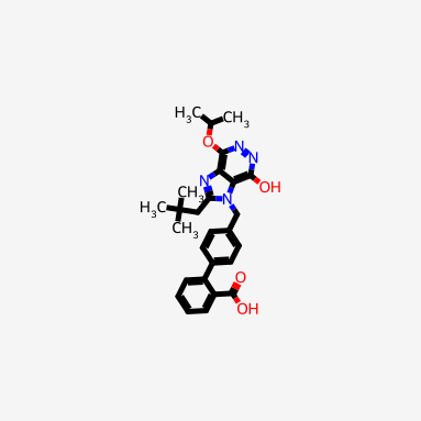 CC(C)Oc1nnc(O)c2c1nc(CC(C)(C)C)n2Cc1ccc(-c2ccccc2C(=O)O)cc1